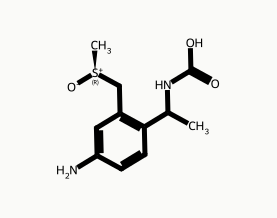 CC(NC(=O)O)c1ccc(N)cc1C[S@+](C)[O-]